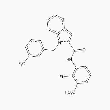 CCc1c(NC(=O)c2cc3ccccc3n2Cc2cccc(C(F)(F)F)c2)cccc1C(=O)O